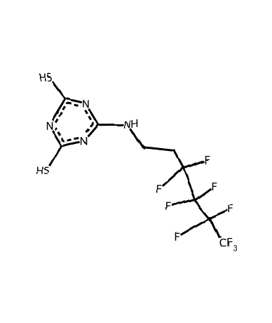 FC(F)(F)C(F)(F)C(F)(F)C(F)(F)CCNc1nc(S)nc(S)n1